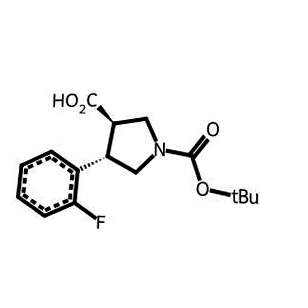 CC(C)(C)OC(=O)N1C[C@H](C(=O)O)[C@@H](c2ccccc2F)C1